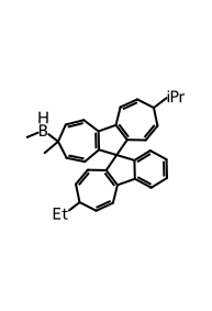 CBC1(C)C=CC2=C(C=C1)C1(C3=C2C=CC(C(C)C)C=C3)C2=C(C=CC(CC)C=C2)c2ccccc21